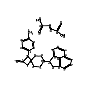 Cc1ccc(N2C(=O)CC23CCN(C2Cc4cccc5cccc2c45)CC3)cc1.O=C(O)/C=C/C(=O)O